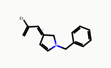 C=C(/C=C1\C=CN(Cc2ccccc2)C1)CC